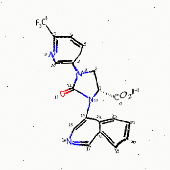 O=C(O)[C@H]1CN(c2ccc(C(F)(F)F)nc2)C(=O)N1c1cncc2ccccc12